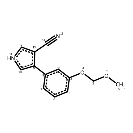 COCOc1cccc(-c2c[nH]cc2C#N)c1